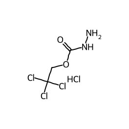 Cl.NNC(=O)OCC(Cl)(Cl)Cl